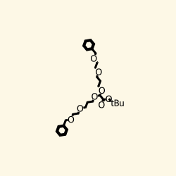 CC(C)(C)OC(=O)C(OCCCOCCOCc1ccccc1)OCCCOCCOCc1ccccc1